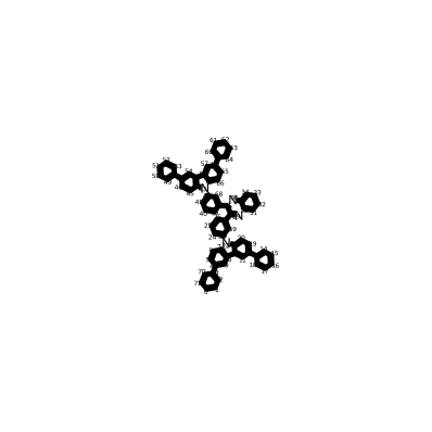 c1ccc(-c2ccc3c(c2)c2cc(-c4ccccc4)ccc2n3-c2cccc(-c3nc4ccccc4nc3-c3cccc(-n4c5ccc(-c6ccccc6)cc5c5cc(-c6ccccc6)ccc54)c3)c2)cc1